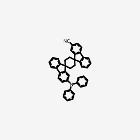 N#Cc1ccc2c(c1)C1(CCC3(CC1)c1ccccc1-c1ccc(N(c4ccccc4)c4ccccc4)cc13)c1ccccc1-2